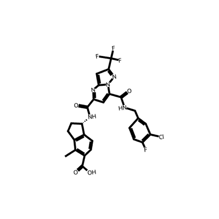 Cc1c(C(=O)O)ccc2c1CC[C@@H]2NC(=O)c1cc(C(=O)NCc2ccc(F)c(Cl)c2)n2nc(C(F)(F)F)cc2n1